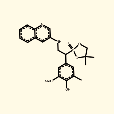 COc1cc(C(CNc2cnc3ccccc3c2)P2(=O)OCC(C)(C)O2)cc(C)c1O